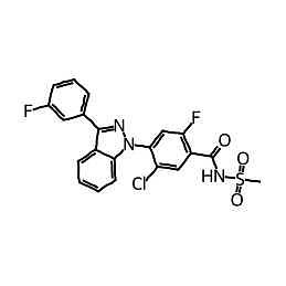 CS(=O)(=O)NC(=O)c1cc(Cl)c(-n2nc(-c3cccc(F)c3)c3ccccc32)cc1F